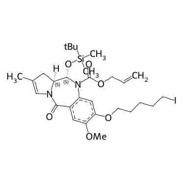 C=CCOC(=O)N1c2cc(OCCCCCI)c(OC)cc2C(=O)N2C=C(C)C[C@H]2[C@@H]1O[Si](C)(C)C(C)(C)C